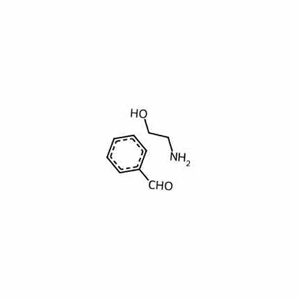 NCCO.O=Cc1ccccc1